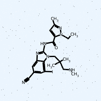 CCn1nc(C)cc1C(=O)Nc1nc2cc(C#N)cc(I)c2n1CC(C)(C)CNC